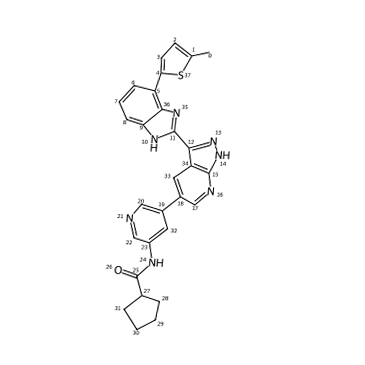 Cc1ccc(-c2cccc3[nH]c(-c4n[nH]c5ncc(-c6cncc(NC(=O)C7CCCC7)c6)cc45)nc23)s1